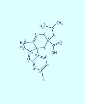 CC1=CCC(CC(C)C)(C(=O)O)CC1(C(=O)O)c1ccc(I)cc1